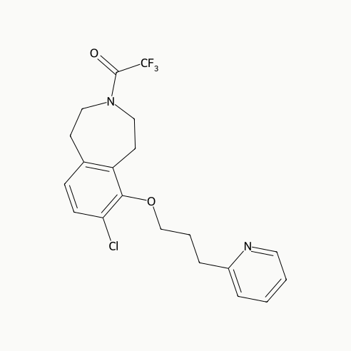 O=C(N1CCc2ccc(Cl)c(OCCCc3ccccn3)c2CC1)C(F)(F)F